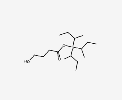 CCC(C)[Si](OC(=O)CCCO)(C(C)CC)C(C)CC